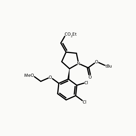 CCOC(=O)/C=C1/C[C@H](c2c(OCOC)ccc(Cl)c2Cl)N(C(=O)OC(C)(C)C)C1